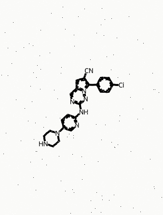 N#Cc1cc2cnc(Nc3ccc(N4CCNCC4)cn3)nn2c1-c1ccc(Cl)cc1